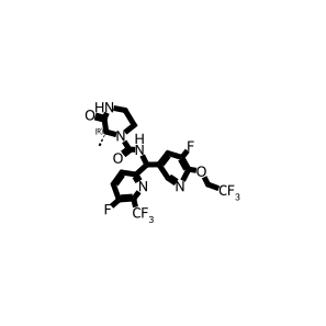 C[C@@H]1C(=O)NCCN1C(=O)NC(c1cnc(OCC(F)(F)F)c(F)c1)c1ccc(F)c(C(F)(F)F)n1